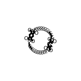 O=c1c2cc3c(=O)n4c(=O)c3cc2c(=O)n1CCCCCCCCCCCn1c(=O)c2cc3c(=O)n(c(=O)c3cc2c1=O)CCCCCCCCCCC4